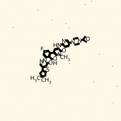 Cn1cc(-c2cc(F)cc(-n3ncc4c5c(sc4c3=O)CC(C)(C)C5)c2CO)cc(Nc2ccc(N3CCN(C4COC4)CC3)cn2)c1=O